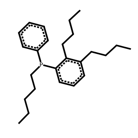 CCCCCP(c1ccccc1)c1cccc(CCCC)c1CCCC